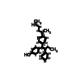 CCC(=C(c1ccc(O)cc1)c1ccc(N(C)CCNC)nc1)c1ccccc1